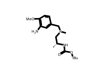 COc1ccc(CN(C)C[C@@H](C)NC(=O)OC(C)(C)C)cc1N